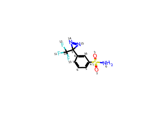 NS(=O)(=O)c1cccc(C2(C(F)(F)F)N=N2)c1